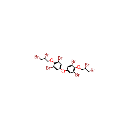 BrCC(Br)COc1c(Br)cc(Oc2cc(Br)c(OCC(Br)CBr)c(Br)c2)cc1Br